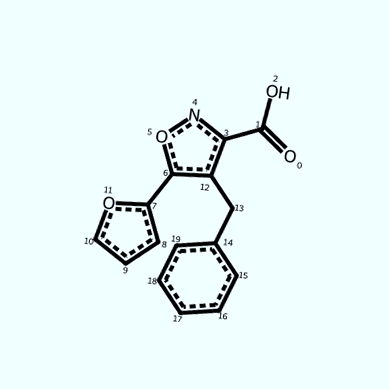 O=C(O)c1noc(-c2ccco2)c1Cc1ccccc1